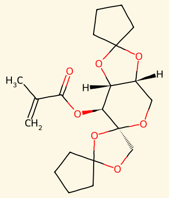 C=C(C)C(=O)O[C@H]1[C@@H]2OC3(CCCC3)O[C@@H]2CO[C@]12COC1(CCCC1)O2